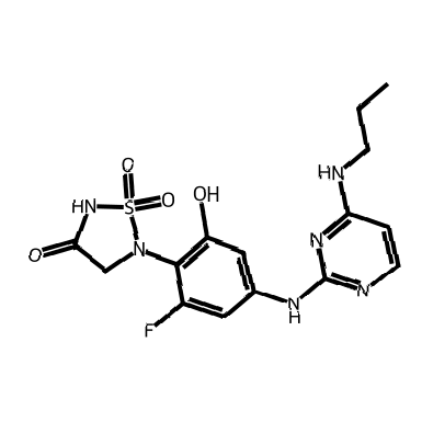 CCCNc1ccnc(Nc2cc(O)c(N3CC(=O)NS3(=O)=O)c(F)c2)n1